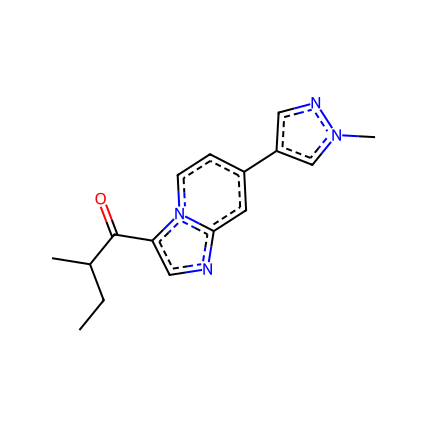 CCC(C)C(=O)c1cnc2cc(-c3cnn(C)c3)ccn12